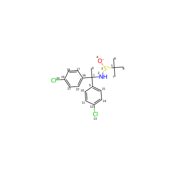 CC(N[S+]([O-])C(C)(C)C)(c1ccc(Cl)cc1)c1ccc(Cl)cc1